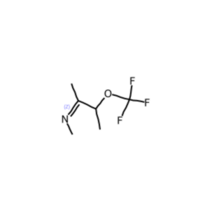 C/N=C(/C)C(C)OC(F)(F)F